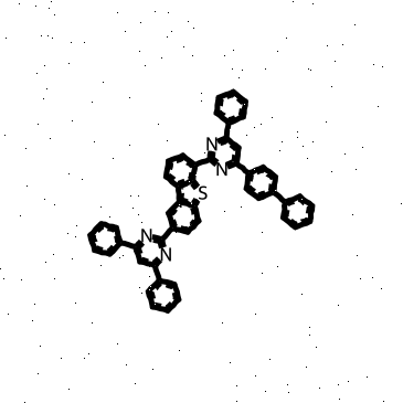 c1ccc(-c2ccc(-c3cc(-c4ccccc4)nc(-c4cccc5c4sc4ccc(-c6nc(-c7ccccc7)cc(-c7ccccc7)n6)cc45)n3)cc2)cc1